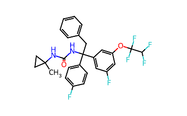 CC1(NC(=O)NC(Cc2ccccc2)(c2ccc(F)cc2)c2cc(F)cc(OC(F)(F)C(F)F)c2)CC1